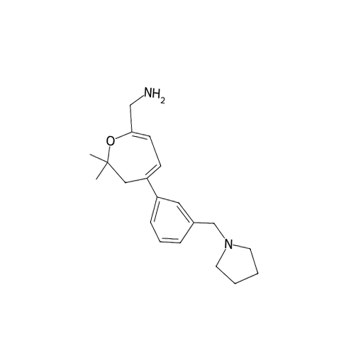 CC1(C)CC(c2cccc(CN3CCCC3)c2)=CC=C(CN)O1